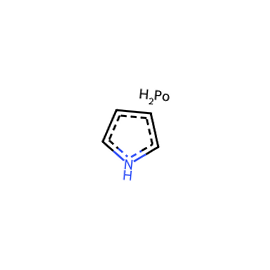 [PoH2].c1cc[nH]c1